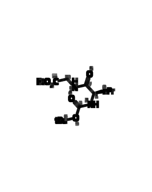 CCC[C@@H](NC(=O)OC(C)(C)C)C(=O)NCC(=O)OCC